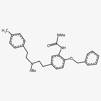 CCCCN(CCc1ccc(C)cc1)CCc1ccc(OCc2ccccc2)c(NC(=O)NC)c1